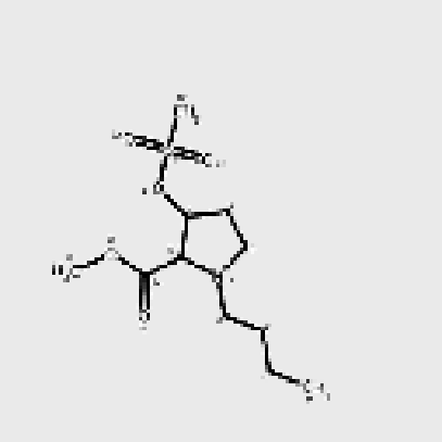 CCCCN1CCC(OS(C)(=O)=O)C1C(=O)OC